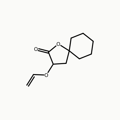 C=COC1CC2(CCCCC2)OC1=O